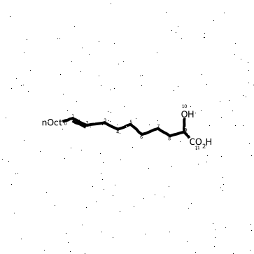 CCCCCCCC/C=C/CCCCCCC(O)C(=O)O